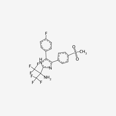 CS(=O)(=O)c1ccc(-c2nc(C(N)(C(F)(F)F)C(F)(F)F)[nH]c2-c2ccc(F)cc2)cc1